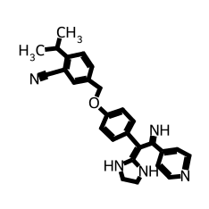 CC(C)c1ccc(COc2ccc(C(C(=N)c3ccncc3)=C3NCCN3)cc2)cc1C#N